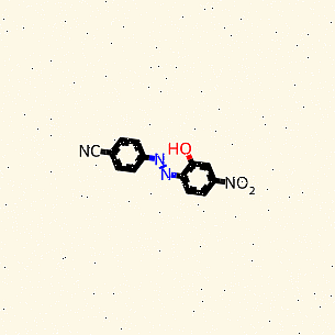 N#Cc1ccc(N=Nc2ccc([N+](=O)[O-])cc2O)cc1